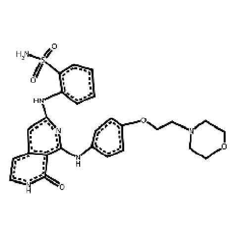 NS(=O)(=O)c1ccccc1Nc1cc2cc[nH]c(=O)c2c(Nc2ccc(OCCN3CCOCC3)cc2)n1